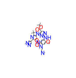 COc1cc(N(C)CCN(C)C)c([N+](=O)[O-])cc1Nc1ncc(C(=O)OC(C)C)c(N2CC(C)(C)c3nc(-c4cnn(C)c4)ccc32)n1